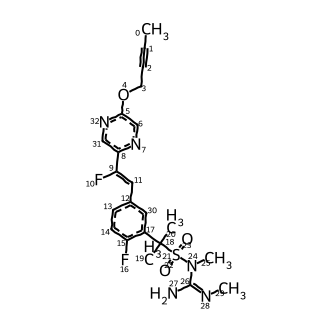 CC#CCOc1cnc(/C(F)=C/c2ccc(F)c(C(C)(C)S(=O)(=O)N(C)/C(N)=N\C)c2)cn1